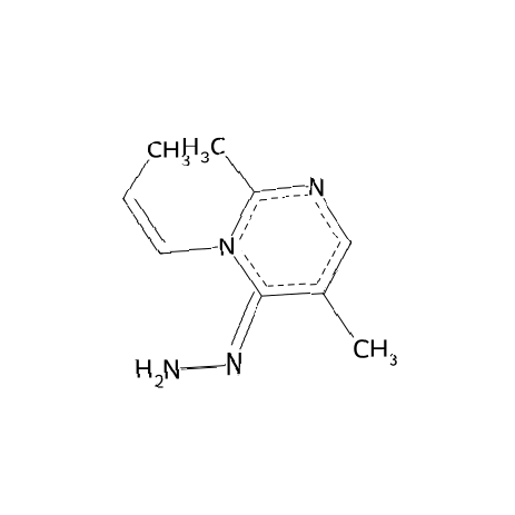 C/C=C\n1c(C)ncc(C)/c1=N/N